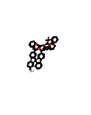 CC(C)(C)c1ccc2c(c1)C1(c3ccccc3-c3ccc(N(c4ccccc4)c4ccc5c(c4)C(C)(C)c4ccccc4-5)cc31)c1cc(N(c3ccccc3)c3ccc(-c4ccccc4)cc3)ccc1-2